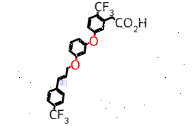 O=C(O)Cc1cc(Oc2cccc(OC/C=C/c3ccc(C(F)(F)F)cc3)c2)ccc1C(F)(F)F